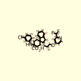 C[C@@H](COc1ccnc(C(F)F)c1)C[C@H]1Cc2ccccc2C12CCC(Nc1cccc(Cl)c1)(C(=O)O)CC2